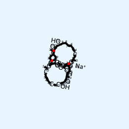 CC1CC/C=C\C=C\CCC(O)CC(=O)C(C)[C@@H]2CC[C@@H](C)[C@]3(C2)O[B-]24OC(C(=O)O1)[C@@]1(O[C@@H](CC[C@H]1C)C(C)C(=O)CC(O)CCCC/C=C\CCC(C)OC(=O)C3O2)O4.[Na+]